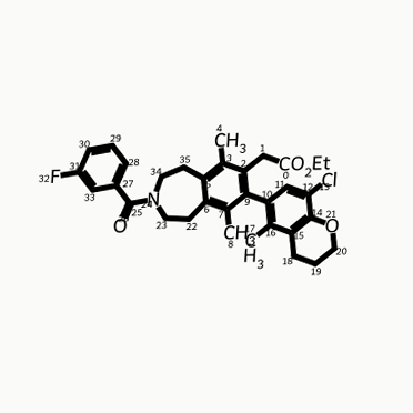 CCOC(=O)Cc1c(C)c2c(c(C)c1-c1cc(Cl)c3c(c1C)CCCO3)CCN(C(=O)c1cccc(F)c1)CC2